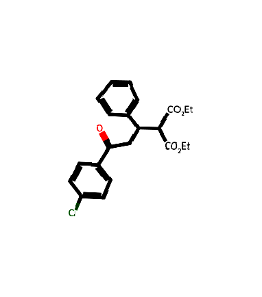 CCOC(=O)C(C(=O)OCC)C(CC(=O)c1ccc(Cl)cc1)c1ccccc1